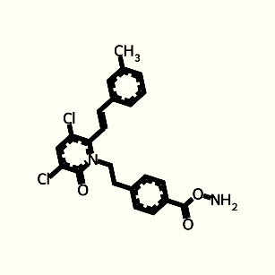 Cc1cccc(/C=C/c2c(Cl)cc(Cl)c(=O)n2CCc2ccc(C(=O)ON)cc2)c1